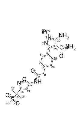 CC(C)n1nc(-c2ccc(CC(=O)Nc3cc(C(C)(C)S(C)(=O)=O)no3)cc2)c(C(N)=O)c1N